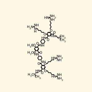 COc1cc(OC)c(C(=O)N[C@H]2CC[C@@H](NC(=O)c3cc(C(=O)NCCN(C)C)c(OCCCCCNC(=N)N)cc3OCCCCCNC(=N)N)CC2)cc1C(=O)N[C@H]1CC[C@@H](NC(=O)c2cc(C(=O)NCCN(C)C)c(OCCCCCNC(=N)N)cc2OCCCCCNC(=N)N)CC1